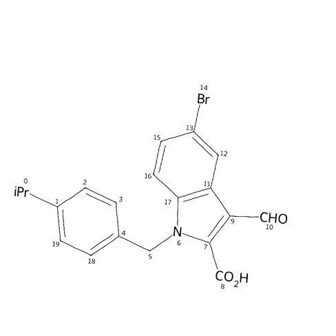 CC(C)c1ccc(Cn2c(C(=O)O)c(C=O)c3cc(Br)ccc32)cc1